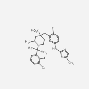 BC(B)(c1cccc(Cl)c1F)N1CCC(Cc2nc(Nc3ncc(C)s3)ccc2F)(C(=O)O)CC1C